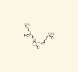 CCCCCC(O)/C=C/CN1CC[C@@H](Cl)C1C/C=C\CCCC(=O)O